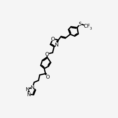 O=C(CCCn1ccnn1)c1ccc(OCc2coc(C=Cc3ccc(SC(F)(F)F)cc3)n2)cc1